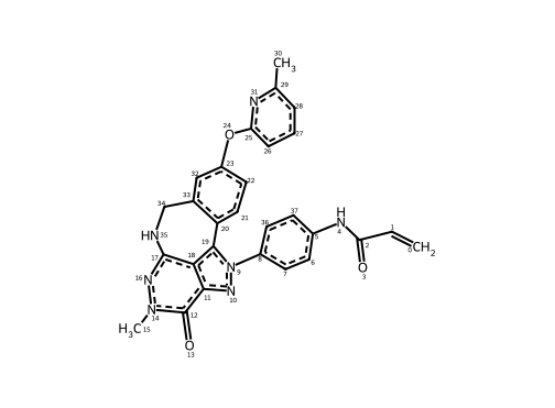 C=CC(=O)Nc1ccc(-n2nc3c(=O)n(C)nc4c3c2-c2ccc(Oc3cccc(C)n3)cc2CN4)cc1